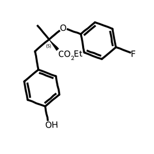 CCOC(=O)[C@](C)(Cc1ccc(O)cc1)Oc1ccc(F)cc1